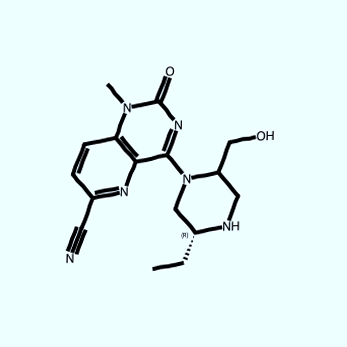 CC[C@@H]1CN(c2nc(=O)n(C)c3ccc(C#N)nc23)C(CO)CN1